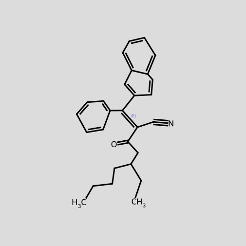 CCCCC(CC)CC(=O)/C(C#N)=C(\c1ccccc1)c1ccc2ccccc2c1